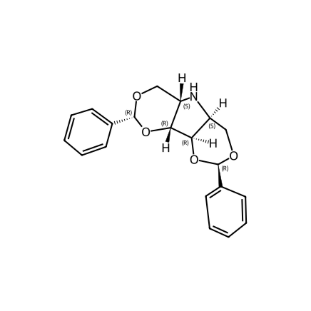 c1ccc([C@@H]2OC[C@@H]3N[C@H]4CO[C@@H](c5ccccc5)O[C@H]4[C@@H]3O2)cc1